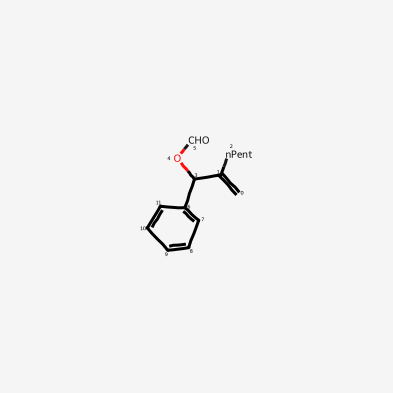 C=C(CCCCC)C(OC=O)c1ccccc1